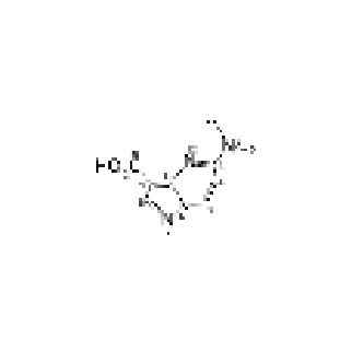 CN(C)c1ccn2ncc(C(=O)O)c2n1